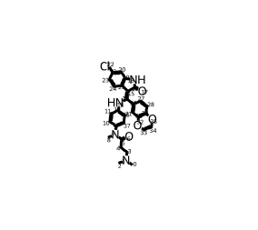 CN(C)CCC(=O)N(C)c1ccc(NC(=C2C(=O)Nc3cc(Cl)ccc32)c2ccc3c(c2)OC=CO3)cc1